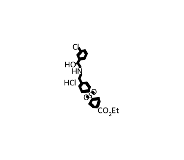 CCOC(=O)c1ccc(S(=O)(=O)c2ccc(CCNC[C@H](O)c3cccc(Cl)c3)cc2)cc1.Cl